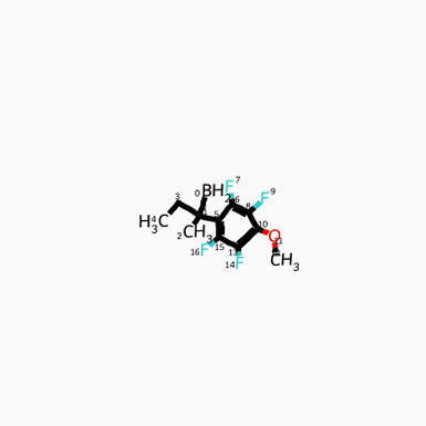 BC(C)(CC)c1c(F)c(F)c(OC)c(F)c1F